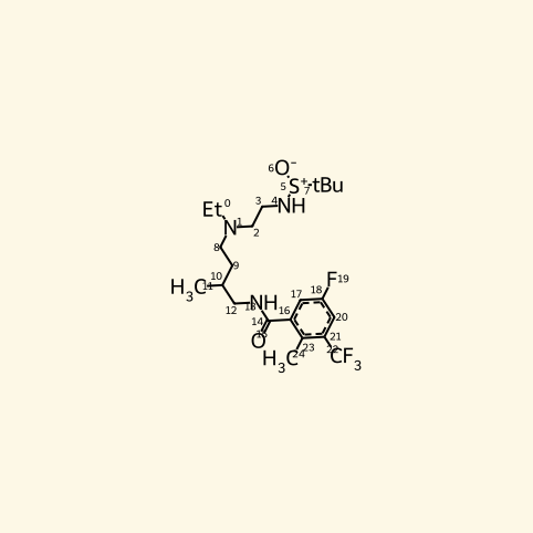 CCN(CCN[S+]([O-])C(C)(C)C)CCC(C)CNC(=O)c1cc(F)cc(C(F)(F)F)c1C